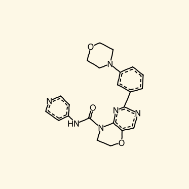 O=C(Nc1ccncc1)N1CCOc2cnc(-c3cccc(N4CCOCC4)c3)nc21